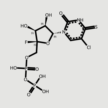 O=c1[nH]c(=S)c(Cl)cn1[C@@H]1O[C@](F)(COP(=O)(O)OP(=O)(O)O)[C@@H](O)[C@H]1O